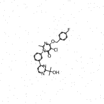 Cc1nc(OCc2ccc(F)cc2)c(Cl)c(=O)n1-c1cccc(-c2ccnc(C(C)(C)O)n2)c1